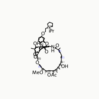 CO[C@H]1/C=C/O[C@@]2(C)Oc3c(C)c(O)c4c(=O)c(c5oc6cc(OCC[N+]7(C(C)C)CCCC7)ccc6nc-5c4c3C2=O)NC(=O)/C(C)=C\C=C\[C@H](C)[C@H](O)[C@@H](C)[C@@H](C)[C@@H](C)[C@H](OC(C)=O)[C@@H]1C